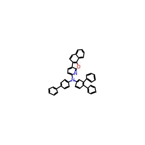 c1ccc(-c2ccc(N(c3ccc(-c4ccccc4)c(-c4ccccc4)c3)c3ccc4c(n3)oc3c5ccccc5ccc43)cc2)cc1